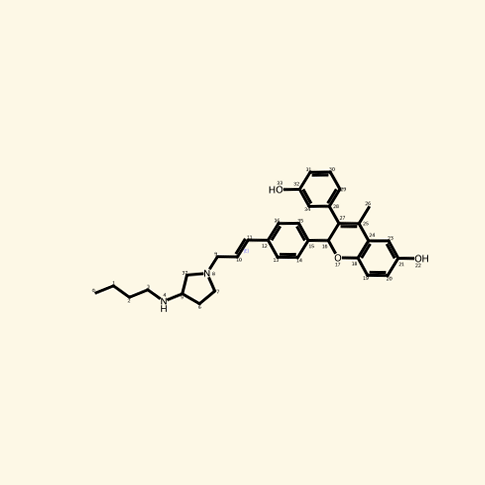 CCCCNC1CCN(C/C=C/c2ccc(C3Oc4ccc(O)cc4C(C)=C3c3cccc(O)c3)cc2)C1